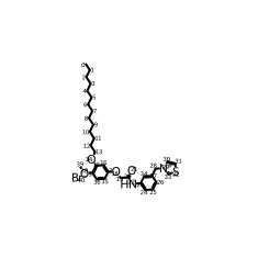 CCCCCCCCCCCCCCOc1cc(OCC(=O)Nc2cccc(C[n+]3ccsc3)c2)ccc1OC.[Br-]